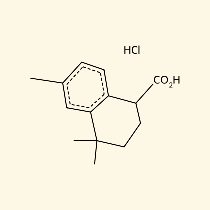 Cc1ccc2c(c1)C(C)(C)CCC2C(=O)O.Cl